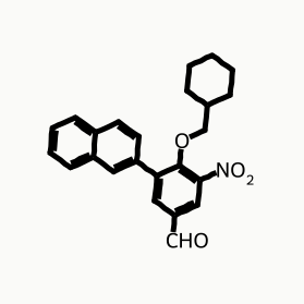 O=Cc1cc(-c2ccc3ccccc3c2)c(OCC2CCCCC2)c([N+](=O)[O-])c1